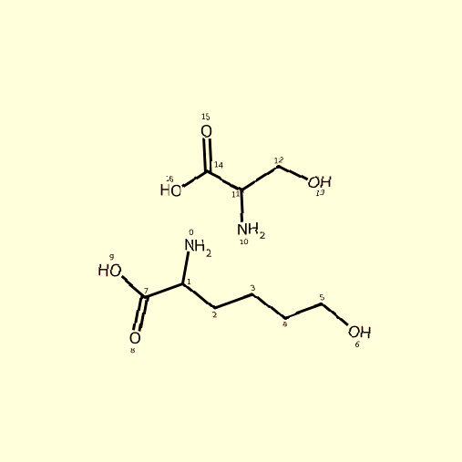 NC(CCCCO)C(=O)O.NC(CO)C(=O)O